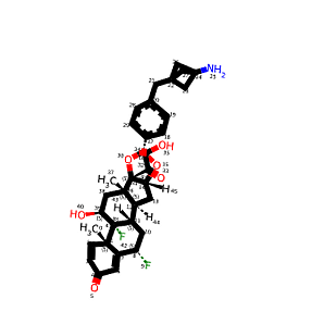 C[C@]12C=CC(=O)C=C1[C@@H](F)C[C@H]1[C@@H]3C[C@H]4O[C@@H](c5ccc(CC67CC(N)(C6)C7)cc5)O[C@@]4(C(=O)CO)[C@@]3(C)C[C@H](O)[C@@]12F